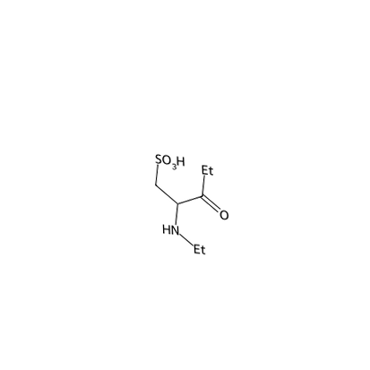 CCNC(CS(=O)(=O)O)C(=O)CC